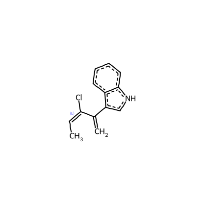 C=C(/C(Cl)=C\C)c1c[nH]c2ccccc12